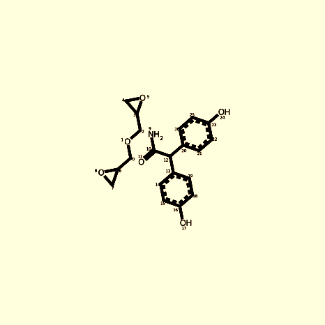 C(OCC1CO1)C1CO1.NC(=O)C(c1ccc(O)cc1)c1ccc(O)cc1